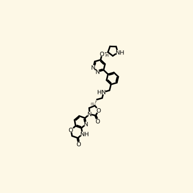 O=C1COc2ccc(N3C[C@H](CCNCc4cccc(-c5cc(O[C@@H]6CCNC6)cnn5)c4)OC3=O)nc2N1